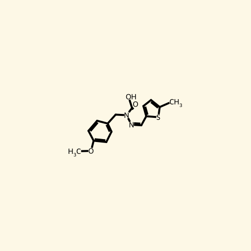 COc1ccc(CN(/N=C\c2ccc(C)s2)C(=O)O)cc1